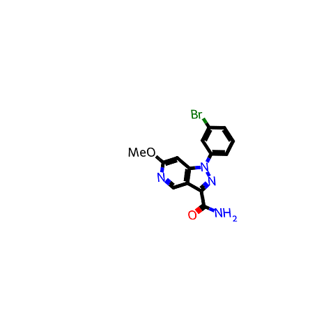 COc1cc2c(cn1)c(C(N)=O)nn2-c1cccc(Br)c1